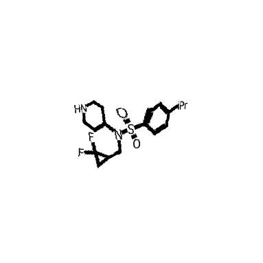 CC(C)c1ccc(S(=O)(=O)N(CC2CC2(F)F)C2CCNCC2)cc1